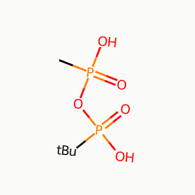 CC(C)(C)P(=O)(O)OP(C)(=O)O